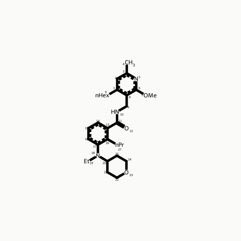 CCCCCCc1cc(C)nc(OC)c1CNC(=O)c1cccc(N(CC)C2CCOCC2)c1CCC